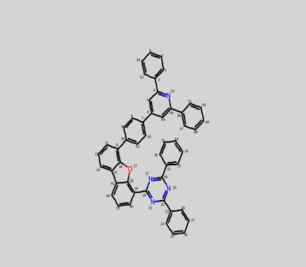 c1ccc(-c2cc(-c3ccc(-c4cccc5c4oc4c(-c6nc(-c7ccccc7)nc(-c7ccccc7)n6)cccc45)cc3)cc(-c3ccccc3)n2)cc1